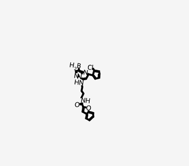 Bc1cnn2c(NCCCCNC(=O)c3cc4ccccc4o3)cc(-c3ccccc3Cl)nc12